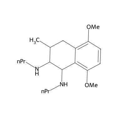 CCCNC1c2c(OC)ccc(OC)c2CC(C)C1NCCC